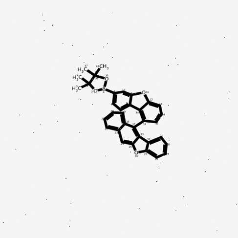 CC1(C)OB(c2ccc3c(c2)oc2cccc(-c4c5ccccc5cc5oc6ccccc6c45)c23)OC1(C)C